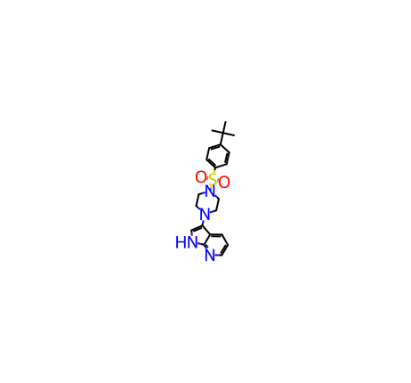 CC(C)(C)c1ccc(S(=O)(=O)N2CCN(c3c[nH]c4ncccc34)CC2)cc1